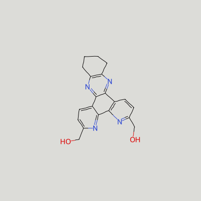 OCc1ccc2c(n1)c1nc(CO)ccc1c1nc3c(nc21)CCCC3